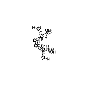 CC(CO)(NCc1cc(Br)c(OCc2cccc(-c3cccc(COc4nc(OCc5cncc(C#N)c5)c(CN[C@](C)(CO)C(=O)O)cc4Br)c3Cl)c2Cl)nc1OCc1cncc(C#N)c1)C(=O)O